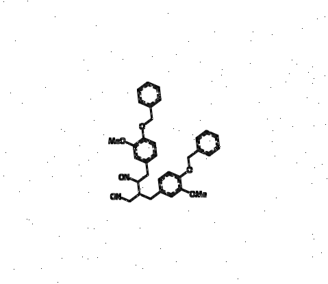 COc1cc(CC(CN=O)C(Cc2ccc(OCc3ccccc3)c(OC)c2)N=O)ccc1OCc1ccccc1